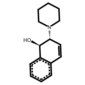 O[C@@H]1c2ccccc2C=C[C@H]1N1CCCCC1